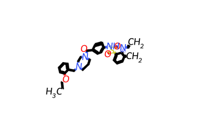 C=C/N=C1\C(=C)C=CC=C1S(=O)(=O)Nc1c#cc(C(=O)N2CCCN(Cc3ccccc3OCCC)CC2)cc1